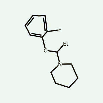 CCC(Oc1cc[c]cc1F)N1CCCCC1